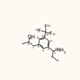 CCC(N)c1cc(CC(C)O)cc(C(F)(F)F)c1